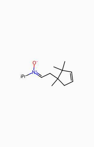 CC(C)[N+]([O-])=CCC1(C)CC=CC1(C)C